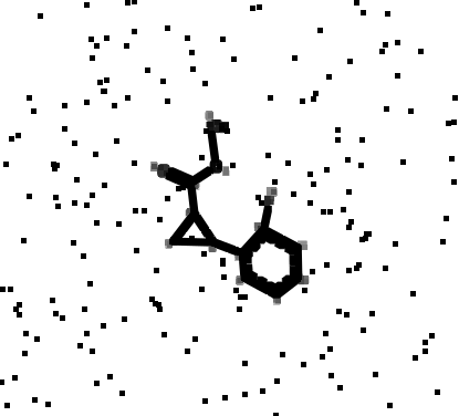 CC(C)(C)OC(=O)C1CC1c1ccccc1F